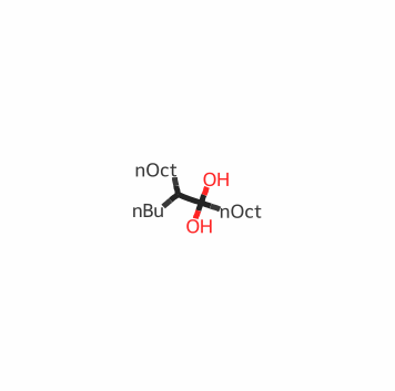 CCCCCCCCC(CCCC)C(O)(O)CCCCCCCC